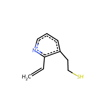 C=Cc1ncccc1CCS